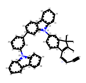 C#C/C=C\C1=C(C)C(C)(C)c2cc(-n3c4ccccc4c4ccc(-c5cccc(-n6c7ccccc7c7ccccc76)c5)cc43)ccc21